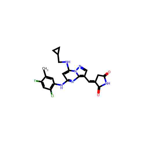 Cc1cc(Nc2cc(NCC3CC3)n3ncc(C=C4CC(=O)NC4=O)c3n2)c(Cl)cc1F